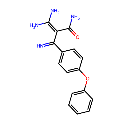 N=C(C(C(N)=O)=C(N)N)c1ccc(Oc2ccccc2)cc1